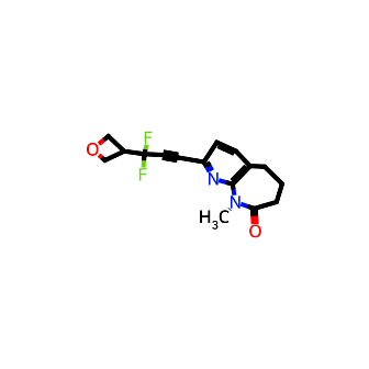 CN1C(=O)CCCc2ccc(C#CC(F)(F)C3COC3)nc21